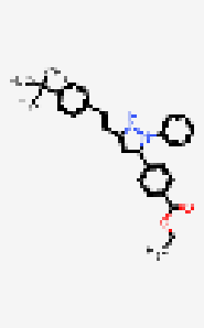 CCOC(=O)c1ccc(C2C=C(C=Cc3ccc(C(C)(C)C)cc3)NN2c2ccccc2)cc1